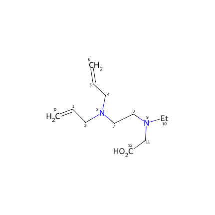 C=CCN(CC=C)CCN(CC)CC(=O)O